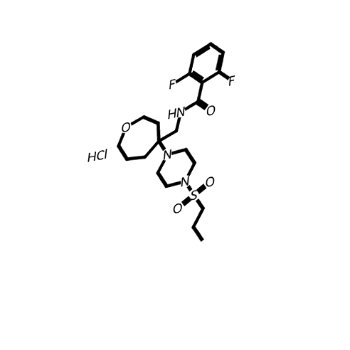 CCCS(=O)(=O)N1CCN(C2(CNC(=O)c3c(F)cccc3F)CCCOCC2)CC1.Cl